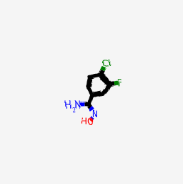 NC(=NO)c1ccc(Cl)c(F)c1